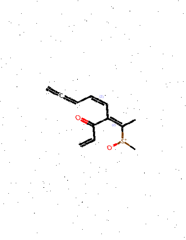 C=C=C/C=C\C(C(=O)C=C)=C(/C)[S+](C)[O-]